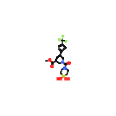 COC(=O)C1CC(c2ccc(C(F)(F)F)cc2)CN(C(=O)N2CCS(O)(O)CC2)C1